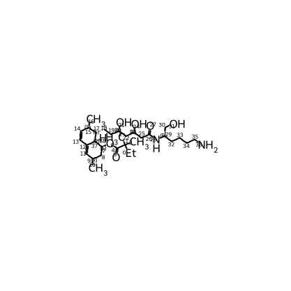 CCC(C)(C)C(=O)O[C@H]1C[C@@H](C)C=C2C=C[C@@H](C)[C@H](CC[C@@H](O)C[C@@H](O)CC(=O)N[C@@H](CO)CCCCN)[C@H]21